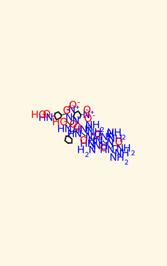 N=C(N)NC(NC(=O)C(NC(=N)N)NC(=O)C(NC(=N)N)NC(=O)C(NC(=N)N)NC(=O)C(NC(=O)C(O)N(Cc1ccc(NOO)cc1)c1ncc([N+](=O)[O-])cc1[N+](=O)[O-])c1ccccc1)C(N)=O